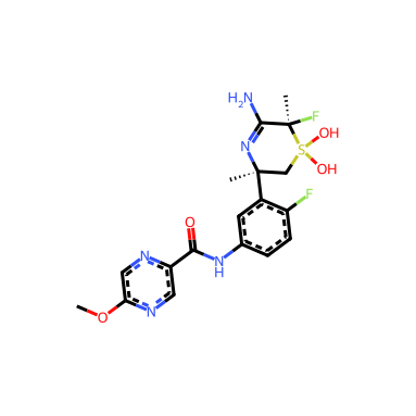 COc1cnc(C(=O)Nc2ccc(F)c([C@]3(C)CS(O)(O)[C@](C)(F)C(N)=N3)c2)cn1